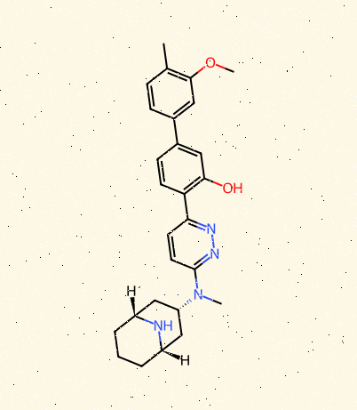 COc1cc(-c2ccc(-c3ccc(N(C)[C@H]4C[C@H]5CCC[C@@H](C4)N5)nn3)c(O)c2)ccc1C